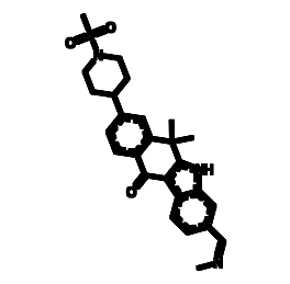 C/N=C\c1ccc2c3c([nH]c2c1)C(C)(C)c1cc(C2CCN(S(C)(=O)=O)CC2)ccc1C3=O